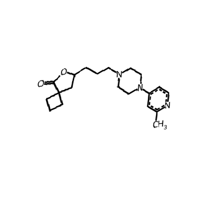 Cc1cc(N2CCN(CCCC3CC4(CCC4)C(=O)O3)CC2)ccn1